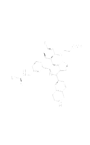 CCC(=O)NCc1cccc(-c2nc(-c3ccc4c(c3)CCNC4)c3ccsc3c2-c2ccc(F)cc2OCCOC)c1